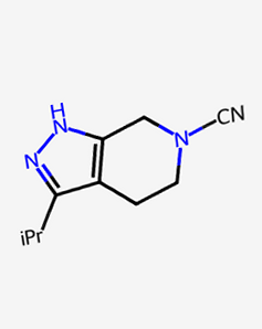 CC(C)c1n[nH]c2c1CCN(C#N)C2